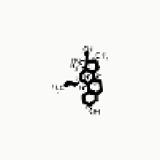 C#C[C@@]1(O)[C@H](C)C[C@H]2[C@@H]3CCC4=C(CC[C@@H](O)C4)[C@H]3[C@@H](CC=C)C[C@@]21C